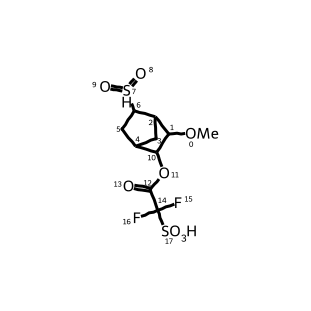 COC1C2CC(CC2[SH](=O)=O)C1OC(=O)C(F)(F)S(=O)(=O)O